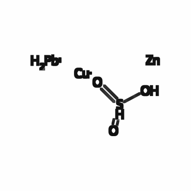 O=[SH](=O)O.[Cu].[PbH2].[Zn]